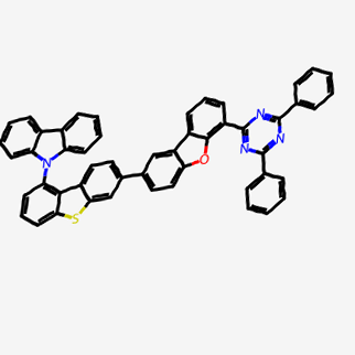 c1ccc(-c2nc(-c3ccccc3)nc(-c3cccc4c3oc3ccc(-c5ccc6c(c5)sc5cccc(-n7c8ccccc8c8ccccc87)c56)cc34)n2)cc1